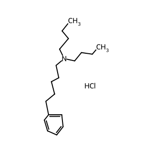 CCCCN(CCCC)CCCCCc1ccccc1.Cl